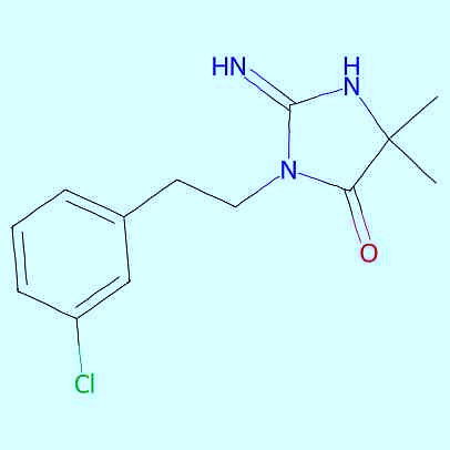 CC1(C)NC(=N)N(CCc2cccc(Cl)c2)C1=O